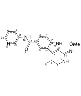 CO/N=C1/NCC(C)c2c1[nH]c1ccc(C(=O)Nc3cccnc3)cc21